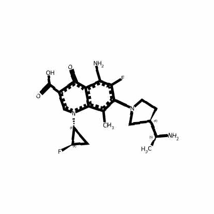 Cc1c(N2CC[C@@H]([C@H](C)N)C2)c(F)c(N)c2c(=O)c(C(=O)O)cn([C@@H]3C[C@H]3F)c12